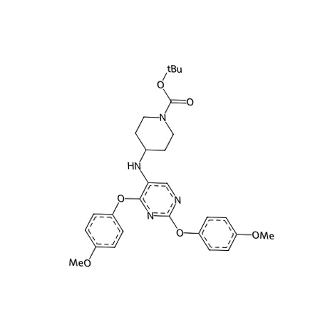 COc1ccc(Oc2ncc(NC3CCN(C(=O)OC(C)(C)C)CC3)c(Oc3ccc(OC)cc3)n2)cc1